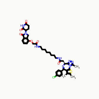 Cc1sc2c(c1C)C(c1ccc(Cl)cc1)=N[C@@H](CC(=O)NCCCCCCCCNC(=O)COc1cccc3c1CN(C1CCC(=O)NC1=O)C3=O)c1nnc(C)n1-2